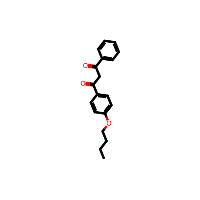 CCCCOc1ccc(C(=O)CC(=O)c2ccccc2)cc1